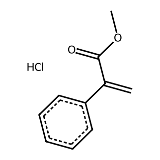 C=C(C(=O)OC)c1ccccc1.Cl